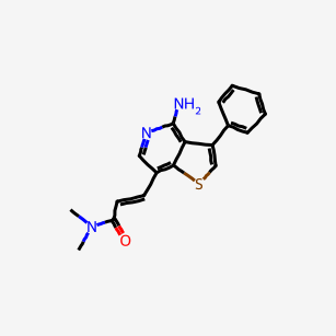 CN(C)C(=O)/C=C/c1cnc(N)c2c(-c3ccccc3)csc12